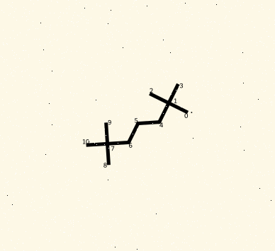 [CH2]C(C)(C)CCCC(C)(C)C